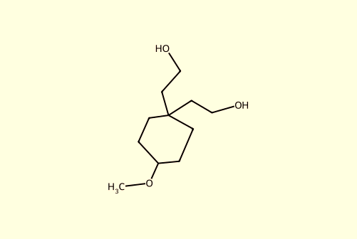 COC1CCC(CCO)(CCO)CC1